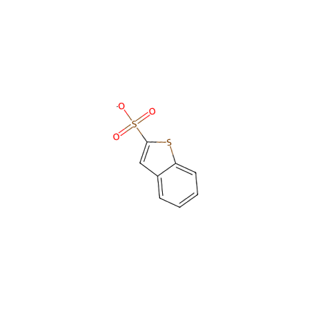 [O]S(=O)(=O)c1cc2ccccc2s1